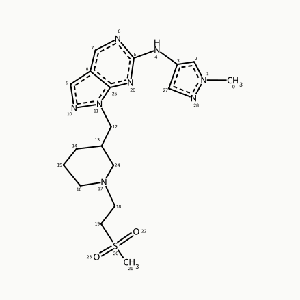 Cn1cc(Nc2ncc3cnn(CC4CCCN(CCS(C)(=O)=O)C4)c3n2)cn1